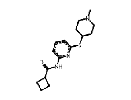 CN1CCC(Sc2cccc(NC(=O)C3CCC3)n2)CC1